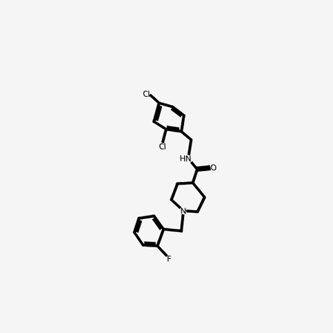 O=C(NCc1ccc(Cl)cc1Cl)C1CCN(Cc2ccccc2F)CC1